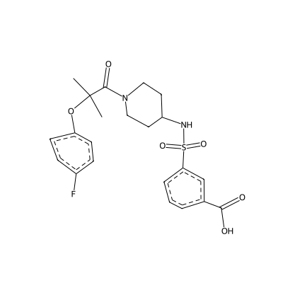 CC(C)(Oc1ccc(F)cc1)C(=O)N1CCC(NS(=O)(=O)c2cccc(C(=O)O)c2)CC1